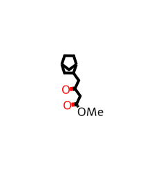 COC(=O)CC(=O)CC1CC2CCC1C2